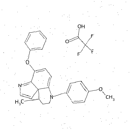 COc1ccc(N2CCC(C)C34C=CN=C3C(Oc3ccccc3)=CC=C24)cc1.O=C(O)C(F)(F)F